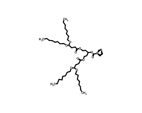 CCCCCCCCOC(CCC(=O)OCCC(CCOC(=O)CCC(OCCCCCCCC)OCCCCCCCC)OC(=O)n1ccnc1)OCCCCCCCC